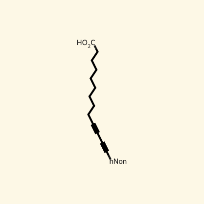 CCCCCCCCCC#CC#CCCCCCCCCC(=O)O